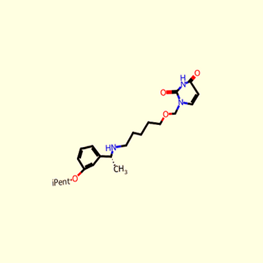 CCC[C@@H](C)Oc1cccc([C@@H](C)NCCCCCOCn2ccc(=O)[nH]c2=O)c1